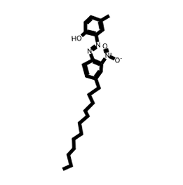 CCCCCCCCCCCCc1ccc(N=Nc2cc(C)ccc2O)c([N+](=O)[O-])c1